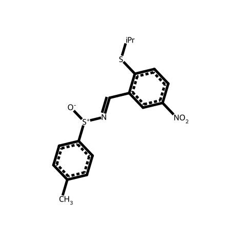 Cc1ccc([S+]([O-])/N=C/c2cc([N+](=O)[O-])ccc2SC(C)C)cc1